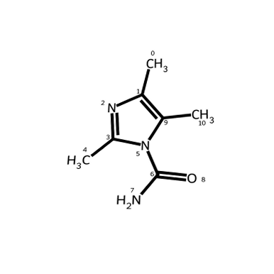 Cc1nc(C)n(C(N)=O)c1C